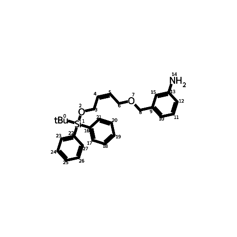 CC(C)(C)[Si](OC/C=C\COCc1cccc(N)c1)(c1ccccc1)c1ccccc1